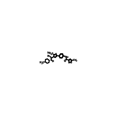 Cc1cc(C(=O)Nc2ccc(-c3cc(N(C(=O)[C@H]4CC[C@H](C)CC4)C(C)C)c(C(=O)O)s3)cc2)no1